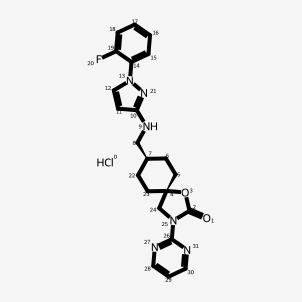 Cl.O=C1O[C@]2(CC[C@H](CNc3ccn(-c4ccccc4F)n3)CC2)CN1c1ncccn1